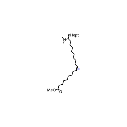 CCCCCCCC(CCCCCCCC/C=C\CCCCCCCC(=O)OC)N(C)C